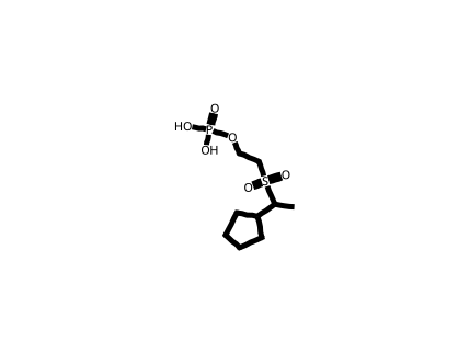 CC(C1CCCC1)S(=O)(=O)CCOP(=O)(O)O